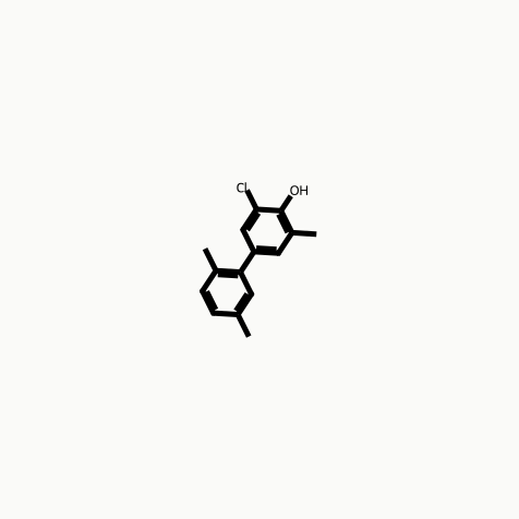 Cc1ccc(C)c(-c2cc(C)c(O)c(Cl)c2)c1